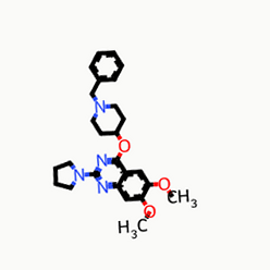 COc1cc2nc(N3CCCC3)nc(OC3CCN(Cc4ccccc4)CC3)c2cc1OC